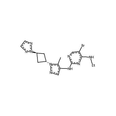 CCNc1nc(Nc2cnn([C@H]3C[C@H](n4nccn4)C3)c2C)ncc1Br